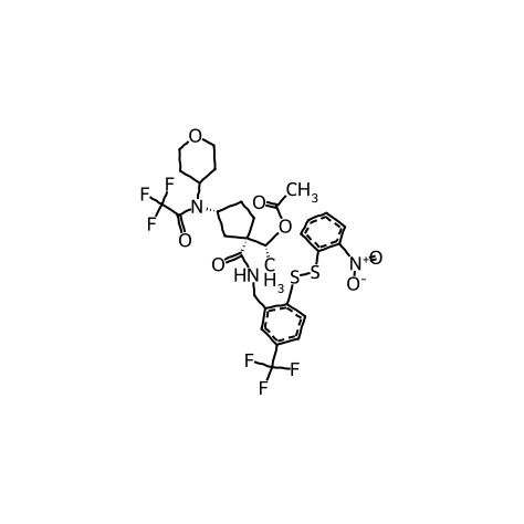 CC(=O)O[C@H](C)[C@]1(C(=O)NCc2cc(C(F)(F)F)ccc2SSc2ccccc2[N+](=O)[O-])CC[C@@H](N(C(=O)C(F)(F)F)C2CCOCC2)C1